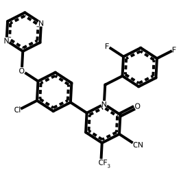 N#Cc1c(C(F)(F)F)cc(-c2ccc(Oc3cnccn3)c(Cl)c2)n(Cc2ccc(F)cc2F)c1=O